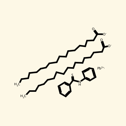 CCCCCCCCCCCCCCCCCC(=O)[O-].CCCCCCCCCCCCCCCCCC(=O)[O-].S=C(Nc1ccccc1)c1ccccc1.[Pb+2]